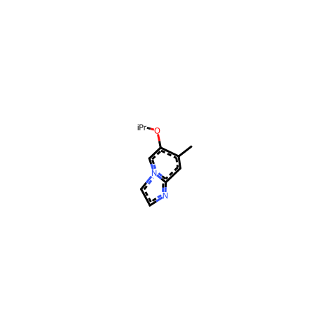 Cc1cc2nccn2cc1OC(C)C